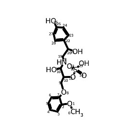 COc1ccccc1OCC(OS(=O)(=O)O)C(O)NCC(O)c1ccc(O)cc1